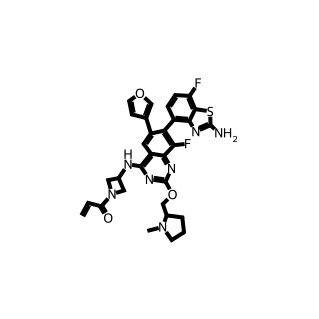 C=CC(=O)N1CC(Nc2nc(OCC3CCCN3C)nc3c(F)c(-c4ccc(F)c5sc(N)nc45)c(-c4ccoc4)cc23)C1